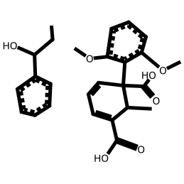 CCC(O)c1ccccc1.COc1cccc(OC)c1C1(C(=O)O)C=CC=C(C(=O)O)C1C